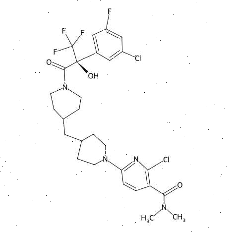 CN(C)C(=O)c1ccc(N2CCC(CC3CCN(C(=O)[C@@](O)(c4cc(F)cc(Cl)c4)C(F)(F)F)CC3)CC2)nc1Cl